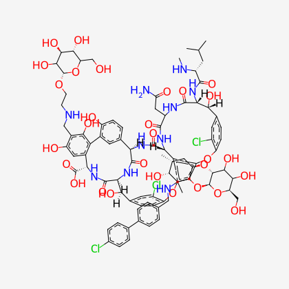 CN[C@H](CC(C)C)C(=O)N[C@H]1C(=O)NC(CC(N)=O)C(=O)N[C@H]2C(=O)N[C@H]3C(=O)N[C@H](C(=O)N[C@H](C(=O)O)c4cc(O)c(CNCCO[C@H]5OC(CO)[C@@H](O)[C@H](O)C5O)c(O)c4-c4cc3ccc4O)[C@H](O)c3ccc(c(Cl)c3)Oc3cc2cc(c3O[C@@H]2O[C@H](CO)C(O)C(O)[C@H]2O[C@@H]2C[C@@H](C)[C@@H](O)C(C)(NCc3ccc(-c4ccc(Cl)cc4)cc3)C2)Oc2ccc(cc2Cl)[C@H]1O